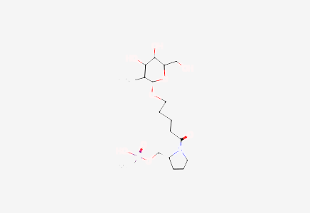 COP(=O)(O)OC[C@@H]1CCCN1C(=O)CCCCO[C@@H]1OC(CO)[C@H](O)C(O)C1NC(C)=O